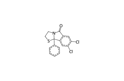 O=C1c2cc(Cl)c(Cl)cc2C2(c3ccccc3)SCCN12